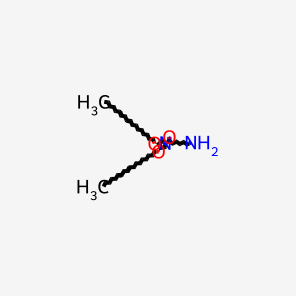 CCCCCC=CCC=CCCCCCCCCO[C@@H]1CN(C(=O)CCCCCN)C[C@H]1OCCCCCCCCC=CCC=CCCCCC